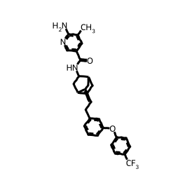 Cc1cc(C(=O)NC2CC3CCC2CC3=CCc2cccc(Oc3ccc(C(F)(F)F)cc3)c2)cnc1N